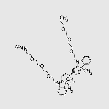 CCCOCCOCCOCCN1/C(=C/C=C\C=C/C2=[N+](CCOCCOCCOCCN=[N+]=[N-])c3ccccc3C2(C)C)C(C)(C)c2ccccc21